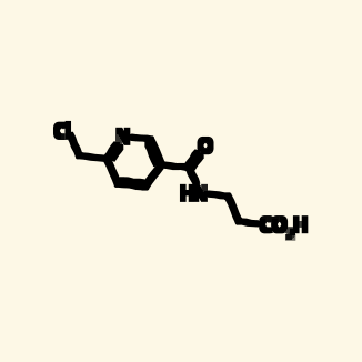 O=C(O)CCNC(=O)c1ccc(CCl)nc1